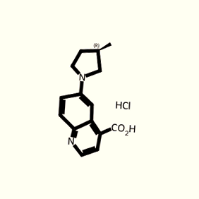 C[C@@H]1CCN(c2ccc3nccc(C(=O)O)c3c2)C1.Cl